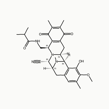 COc1c(C)cc2c(c1O)[C@@H]1[C@@H]3CC4=C(C(=O)C(C)=C(C)C4=O)[C@H](CNC(=O)C(C)C)N3[C@@H](C#N)[C@H](C2)N1C